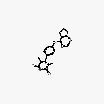 Cc1c(-c2ccc(Oc3ncnc4c3CCC4)cc2)n(C)c(=O)[nH]c1=O